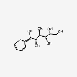 OC[C@@H](O)[C@@H](O)[C@H](O)[C@@H](O)C(O)=C1C=CC=CC1